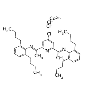 CCCCc1cccc(CCCC)c1N=C(C)c1cc(Cl)cc(C(C)=Nc2c(CCCC)cccc2CCCC)n1.[Cl-].[Cl-].[Co+2]